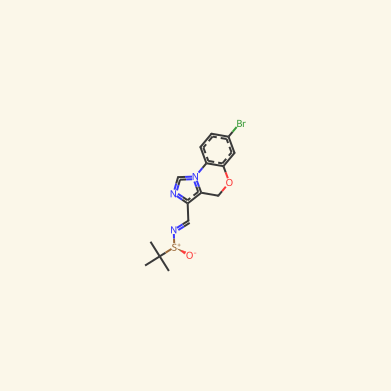 CC(C)(C)[S@+]([O-])/N=C/c1ncn2c1COc1cc(Br)ccc1-2